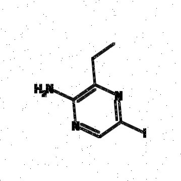 CCc1nc(I)cnc1N